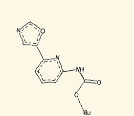 CC(C)(C)OC(=O)Nc1cccc(-c2cnco2)n1